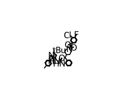 Cc1ccc(-n2nc(C(C)(C)C)cc2NC(=O)Nc2ccccc2CC2CCN(S(=O)(=O)c3ccc(F)c(Cl)c3)CC2)cc1